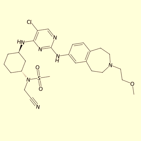 COCCN1CCc2ccc(Nc3ncc(Cl)c(N[C@@H]4CCC[C@@H](N(CC#N)S(C)(=O)=O)C4)n3)cc2CC1